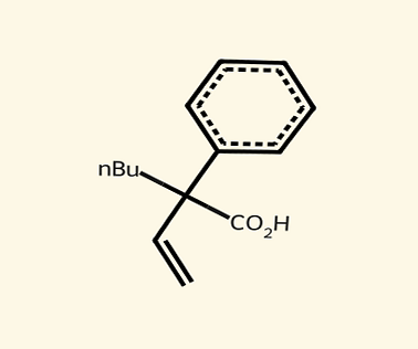 C=CC(CCCC)(C(=O)O)c1ccccc1